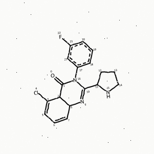 O=C1C2C(Cl)=CC=CC2N=C(C2CCCN2)N1c1cccc(F)c1